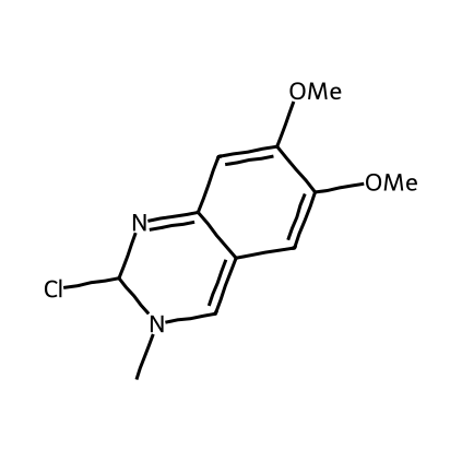 COc1cc2c(cc1OC)=NC(Cl)N(C)C=2